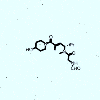 C/C(=C\[C@H](C(C)C)N(C)C(=O)CNC=O)C(=O)N1CCC(O)CC1